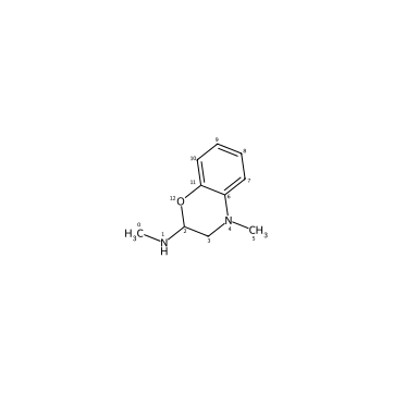 CNC1CN(C)c2ccccc2O1